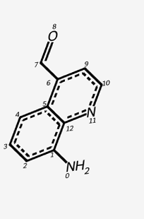 Nc1cccc2c(C=O)ccnc12